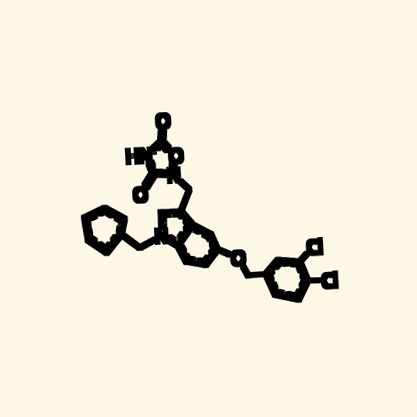 O=c1[nH]c(=O)n(Cc2cn(Cc3ccccc3)c3ccc(OCc4ccc(Cl)c(Cl)c4)cc23)o1